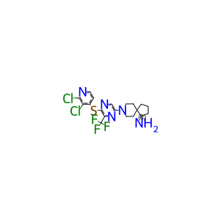 N[C@@H]1CCCC12CCN(c1cnc(Sc3ccnc(Cl)c3Cl)c(C(F)(F)F)n1)CC2